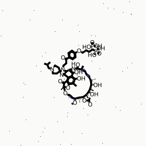 CO[C@H]1/C=C/O[C@@]2(C)Oc3c(C)c(O)c4c(c3C2=O)C2=NC3(CCN(CC(C)C)CC3)N(CCC(=O)c3ccc(OCCCC(P(=O)(O)O)P(=O)(O)O)cc3)C2C(=C4O)NC(=O)/C(C)=C\C=C\[C@H](C)[C@H](O)[C@@H](C)[C@@H](O)[C@@H](C)[C@H](OC(C)=O)[C@@H]1C